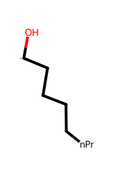 [CH2]CCCCCC[CH]O